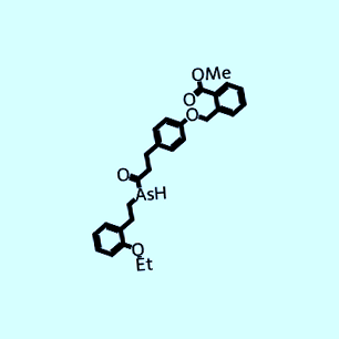 CCOc1ccccc1CC[AsH]C(=O)CCc1ccc(OCc2ccccc2C(=O)OC)cc1